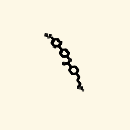 CCCCC1CCC(C(=O)Oc2ccc(-c3ncc(C)cn3)cc2)CC1